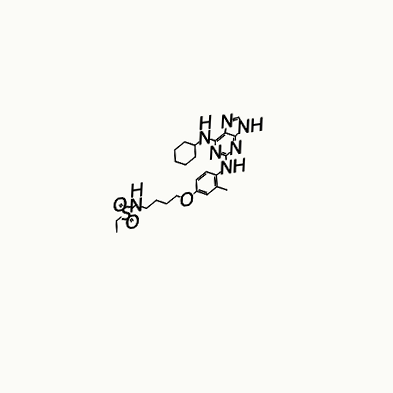 CCS(=O)(=O)NCCCCOc1ccc(Nc2nc(NC3CCCCC3)c3nc[nH]c3n2)c(C)c1